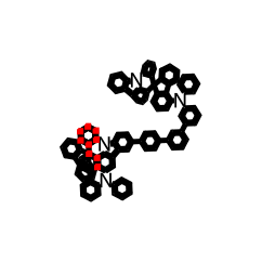 c1ccc(-c2ccc(-c3ccccc3N(c3ccccc3)c3cc4c5c(c3)c3cc(-c6ccc(-c7cccc(-c8cccc(N(c9ccccc9)c9cccc%10c9-c9ccccc9C%109c%10ccccc%10-n%10c%11ccccc%11c%11cccc9c%11%10)c8)c7)cc6)ccc3n5-c3ccccc3C43c4ccccc4-c4ccccc43)cc2)cc1